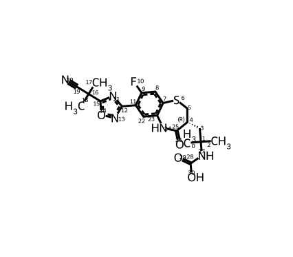 CC(C)(C[C@H]1CSc2cc(F)c(-c3noc(C(C)(C)C#N)n3)cc2NC1=O)NC(=O)O